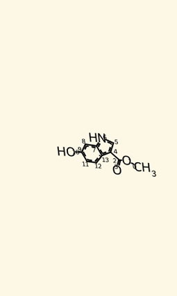 COC(=O)c1c[nH]c2cc(O)ccc12